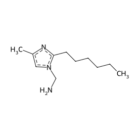 CCCCCCc1nc(C)cn1CN